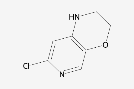 Clc1cc2c(cn1)OCCN2